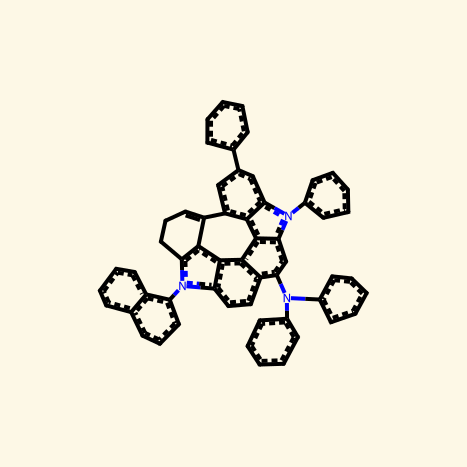 C1=C2c3c(n(-c4cccc5ccccc45)c4ccc5c(N(c6ccccc6)c6ccccc6)cc6c(c7c2cc(-c2ccccc2)cc7n6-c2ccccc2)c5c34)CC1